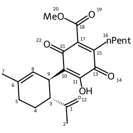 C=C(C)[C@@H]1CCC(C)=C[C@H]1C1=C(O)C(=O)C(CCCCC)=C(C(=O)OC)C1=O